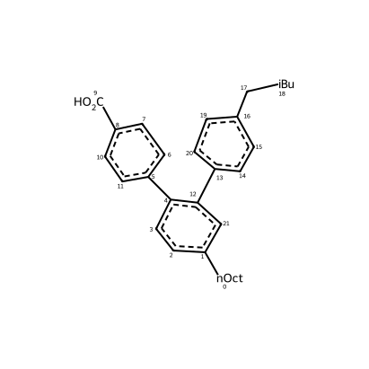 CCCCCCCCc1ccc(-c2ccc(C(=O)O)cc2)c(-c2ccc(CC(C)CC)cc2)c1